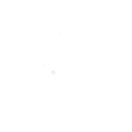 CCN1CCc2ccccc2C1c1cccc(Cl)c1